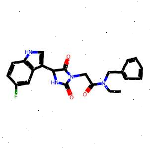 CCN(Cc1ccccc1)C(=O)CN1C(=O)NC(c2c[nH]c3ccc(F)cc23)C1=O